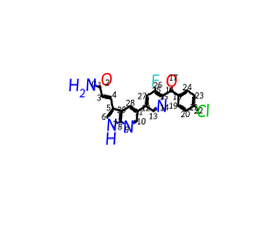 NC(=O)C=Cc1c[nH]c2ncc(-c3cnc(C(=O)c4ccc(Cl)cc4)c(F)c3)cc12